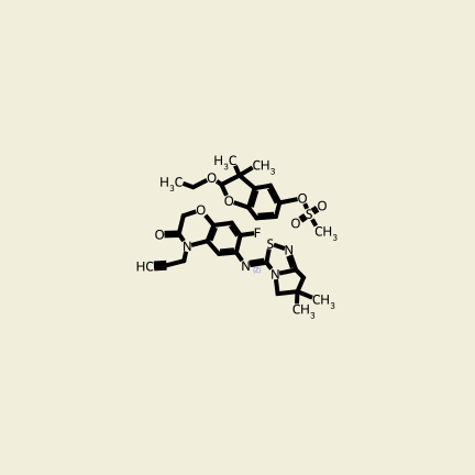 C#CCN1C(=O)COc2cc(F)c(/N=c3\snc4n3CC(C)(C)C4)cc21.CCOC1Oc2ccc(OS(C)(=O)=O)cc2C1(C)C